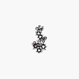 COC(=O)[C@H](COc1cc2c(cc1[N+](=O)[O-])CN(C(=O)C(F)(F)F)CC2)NC(c1ccccc1)(c1ccccc1)c1ccccc1